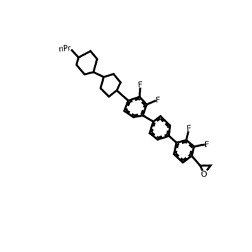 CCCC1CCC(C2CCC(c3ccc(-c4ccc(-c5ccc(C6CO6)c(F)c5F)cc4)c(F)c3F)CC2)CC1